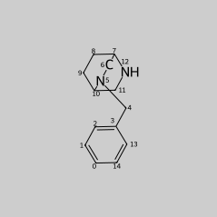 c1ccc(CN2CC3CCC2CN3)cc1